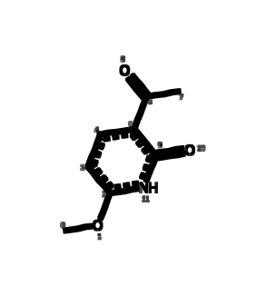 COc1ccc(C(C)=O)c(=O)[nH]1